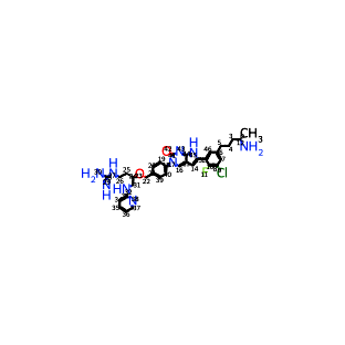 C[C@H](N)CCCc1cc(Cl)c(F)c(-c2cc3cn(-c4ccc(CO[C@H](CCNC(=N)N)CNc5ccccn5)cc4)c(=O)nc3[nH]2)c1